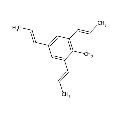 CC=Cc1cc(C=CC)c(C)c(C=CC)c1